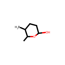 BC1CCC(O)OC1C